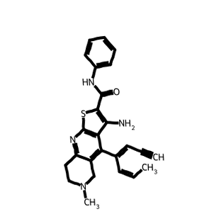 C#C/C=C(\C=C/C)c1c2c(nc3sc(C(=O)Nc4ccccc4)c(N)c13)CCN(C)C2